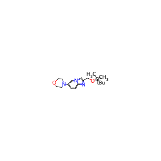 CC(C)(C)[Si](C)(C)OCc1cn2cc(N3CCOCC3)ccc2n1